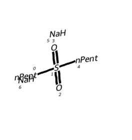 CCCCCS(=O)(=O)CCCCC.[NaH].[NaH]